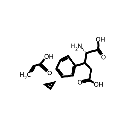 C1=CC1.C=CC(=O)O.N[C@H](C(=O)O)C(CC(=O)O)c1ccccc1